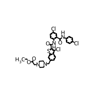 CCOC(=O)CN1CCN(Cc2ccc3c(Cl)c(C(=O)Nc4ccc(Cl)cc4C(=O)Nc4ccc(Cl)cc4)sc3c2)CC1